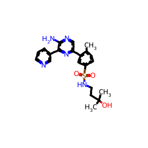 Cc1ccc(S(=O)(=O)NCCC(C)(C)O)cc1-c1cnc(N)c(-c2cccnc2)n1